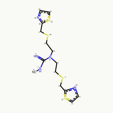 N#CNC(=N)N(CCSCc1nccs1)CCSCc1nccs1